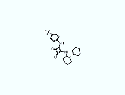 O=c1c(Nc2ccc(C(F)(F)F)cc2)c(N[C@@H]2CCCC[C@H]2N2CCCCC2)c1=O